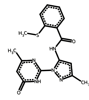 CSc1ccccc1C(=O)Nc1cc(C)nn1-c1nc(C)cc(=O)[nH]1